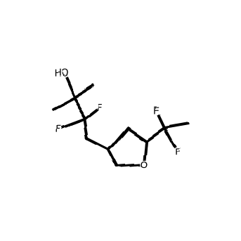 CC(F)(F)C1CC(CC(F)(F)C(C)(C)O)CO1